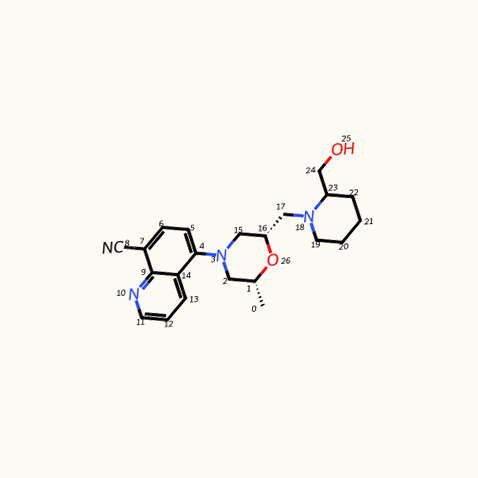 C[C@@H]1CN(c2ccc(C#N)c3ncccc23)C[C@H](CN2CCCCC2CO)O1